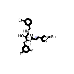 CCCCn1cc(/C=C/C(=O)N[C@@H](Cc2cc(F)cc(F)c2)[C@@H](O)CNCc2cccc(CC)c2)cn1